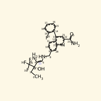 CC[C@](O)(/C(N)=C/NCc1ccc2c(-c3ccccc3F)cc(C(N)=O)nc2c1)C(F)(F)F